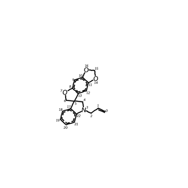 C=CCN1CC2(COc3cc4c(cc32)OCO4)c2ccccc21